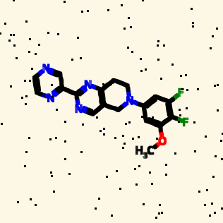 COc1cc(N2CCc3nc(-c4cnccn4)ncc3C2)cc(F)c1F